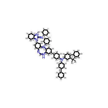 Cn1/c(=N\c2ccccc2)n(-c2ccc3nc[nH]c4cc(-c5ccc(N(c6ccc(-c7ccccc7)cc6)c6ccc7c(c6)C(C)(C)c6ccccc6-7)cc5)ccc4n(-c4ccccc4)c3c2)c2ccccc21